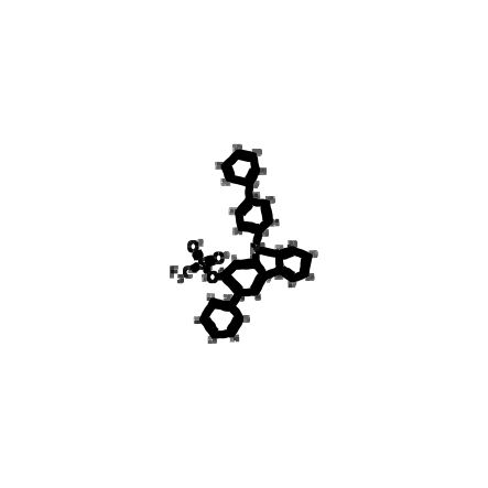 O=S(=O)(Oc1cc2c(cc1-c1ccccc1)c1ccccc1n2-c1ccc(-c2ccccc2)cc1)C(F)(F)F